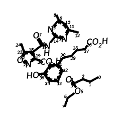 CCCC(=O)OCC.Cc1cc(C)nc(NC(=O)c2c(C(=O)O)noc2C)n1.O=C(O)CCCCc1cccc(O)c1